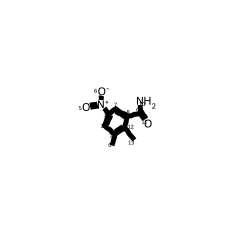 Cc1cc([N+](=O)[O-])cc(C(N)=O)c1C